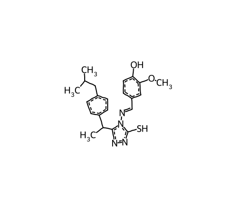 COc1cc(C=Nn2c(S)nnc2C(C)c2ccc(CC(C)C)cc2)ccc1O